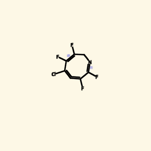 FC1=C=C(Cl)/C(F)=C(/F)C/N=C\1F